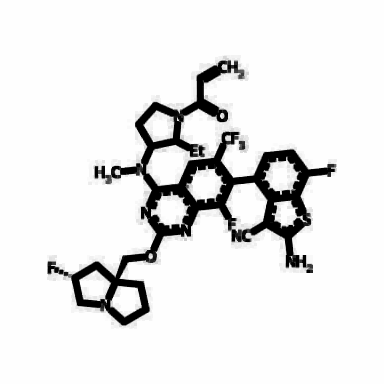 C=CC(=O)N1CCC(N(C)c2nc(OC[C@@]34CCCN3C[C@H](F)C4)nc3c(F)c(-c4ccc(F)c5sc(N)c(C#N)c45)c(C(F)(F)F)cc23)C1CC